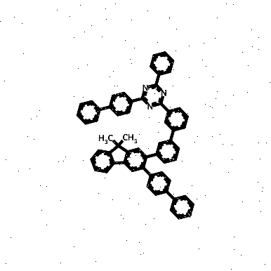 CC1(C)c2ccccc2-c2cc(-c3ccc(-c4ccccc4)cc3)c(-c3cccc(-c4cccc(-c5nc(-c6ccccc6)nc(-c6ccc(-c7ccccc7)cc6)n5)c4)c3)cc21